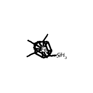 C[C]12[CH]3[C]4([SiH3])[C]5(C)[C]1(C)[Fe]32451678[CH]2[CH]1[CH]6[CH]7[CH]28